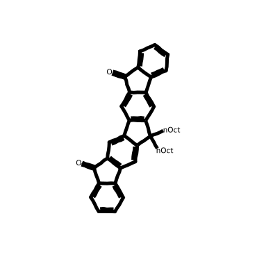 CCCCCCCCC1(CCCCCCCC)c2cc3c(cc2-c2cc4c(cc21)-c1ccccc1C4=O)C(=O)c1ccccc1-3